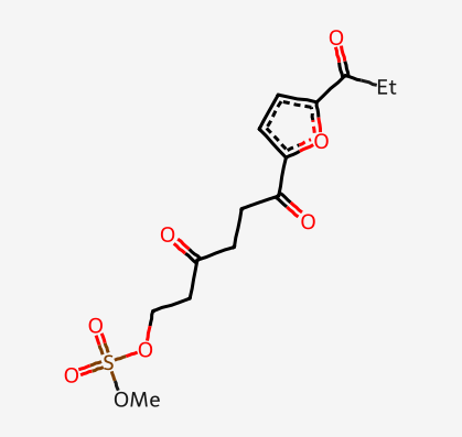 CCC(=O)c1ccc(C(=O)CCC(=O)CCOS(=O)(=O)OC)o1